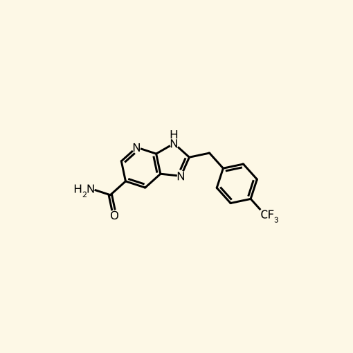 NC(=O)c1cnc2[nH]c(Cc3ccc(C(F)(F)F)cc3)nc2c1